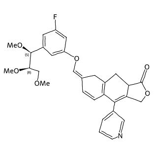 COC[C@@H](OC)[C@@H](OC)c1cc(F)cc(OC=C2C=CC3=C(C2)CC2C(=O)OCC2=C3c2cccnc2)c1